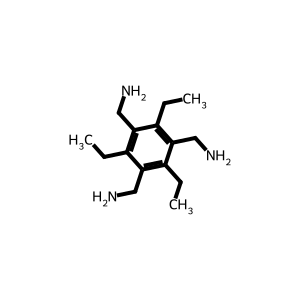 CCc1c(CN)c(CC)c(CN)c(CC)c1CN